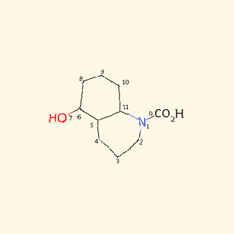 O=C(O)N1CCCC2C(O)CCCC21